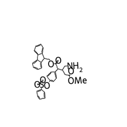 COC(=O)CC(CN)C(C(=O)OCC1c2ccccc2-c2ccccc21)c1ccc(OS(=O)(=O)c2ccccc2)cc1